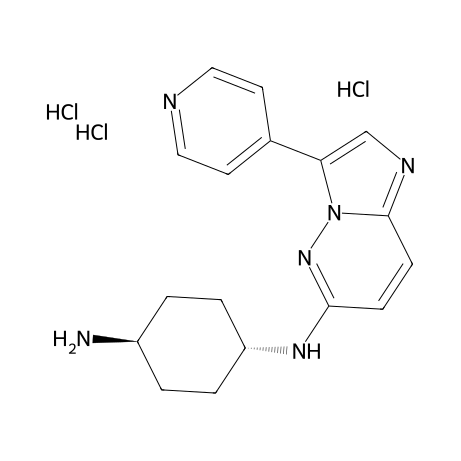 Cl.Cl.Cl.N[C@H]1CC[C@H](Nc2ccc3ncc(-c4ccncc4)n3n2)CC1